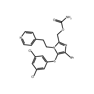 CC(C)c1nc(COC(N)=O)n(CCc2ccncc2)c1Sc1cc(Cl)cc(Cl)c1